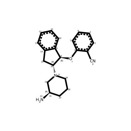 N#Cc1ccccc1O[C@@H]1c2ccccc2C[C@H]1N1CCC[C@@H](N)C1